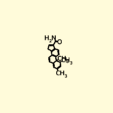 CC1=CC(C)C2(C)C(=C1)C=Cc1c2ccc2c1CC=C2C(N)=O